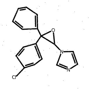 Clc1ccc(C2(c3ccccc3)OC2n2ccnc2)cc1